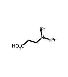 CCCN(CCC(=O)O)C(C)C